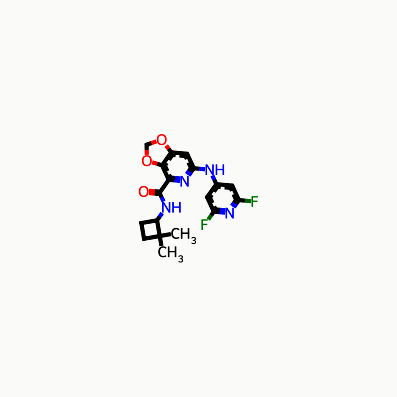 CC1(C)CCC1NC(=O)c1nc(Nc2cc(F)nc(F)c2)cc2c1OCO2